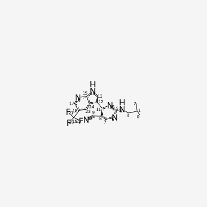 CC(C)CNc1ncc(C#N)c(-c2c[nH]c3ncc(C(F)(F)F)cc23)n1